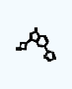 c1ncn(-c2ccc3[nH]cc(C4CNC4)c3c2)n1